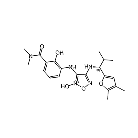 Cc1cc([C@H](Nc2no[n+](O)c2Nc2cccc(C(=O)N(C)C)c2O)C(C)C)oc1C